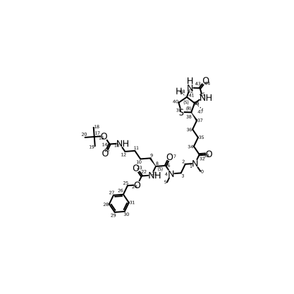 CN(CCN(C)C(=O)[C@H](CCCCNC(=O)OC(C)(C)C)NC(=O)OCc1ccccc1)C(=O)CCCC[C@H]1SC[C@H]2NC(=O)N[C@]21C